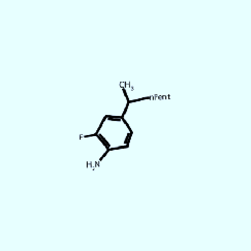 CCCCCC(C)c1ccc(N)c(F)c1